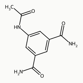 CC(=O)Nc1cc(C(N)=O)cc(C(N)=O)c1